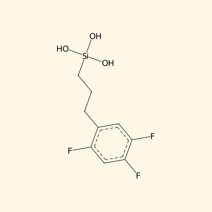 O[Si](O)(O)CCCc1cc(F)c(F)cc1F